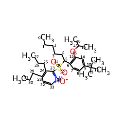 CCCCCC(c1ccc(C(C)(C)C)cc1OC(C)C)S(=O)(=O)c1c(CCC)c(CCC)cc[n+]1[O-]